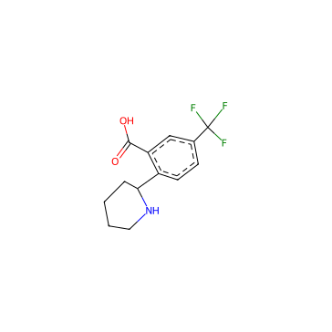 O=C(O)c1cc(C(F)(F)F)ccc1C1CCCCN1